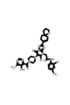 CCc1c(N2CCN(C(=O)c3ncnc(C)c3O)CC2)c(=O)n2nc(C3=CCC4(CCCO4)CC3)nc2n1CC(=O)Nc1ccc(C(F)(F)F)cc1Cl